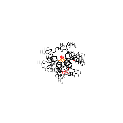 CC[Si](CC)(CC)c1cc([Si](CC)(CC)CC)cc(P(=O)(c2cc([Si](CC)(CC)CC)cc([Si](CC)(CC)CC)c2)c2cccc(OC)c2-c2c(OC)cccc2P(=O)(c2cc([Si](CC)(CC)CC)cc([Si](CC)(CC)CC)c2)c2cc([Si](CC)(CC)CC)cc([Si](CC)(CC)CC)c2)c1